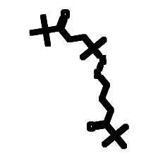 CC(C)(CCC(=O)C(C)(C)C)SSCCCC(=O)C(C)(C)C